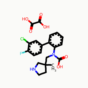 CC1(CN(C(=O)O)c2ccccc2-c2ccc(F)c(Cl)c2)CCNC1.O=C(O)C(=O)O